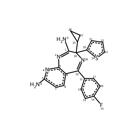 NC1=Nc2nc(N)ccc2C(c2ccc(F)cc2)=NC1(c1cccs1)C1CC1